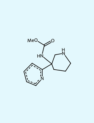 COC(=O)NC1(c2ccccn2)CCCNC1